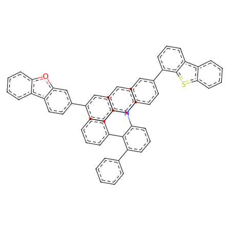 c1ccc(-c2ccccc2-c2c(-c3ccccc3)cccc2N(c2ccc(-c3ccc4c(c3)oc3ccccc34)cc2)c2ccc(-c3cccc4c3sc3ccccc34)cc2)cc1